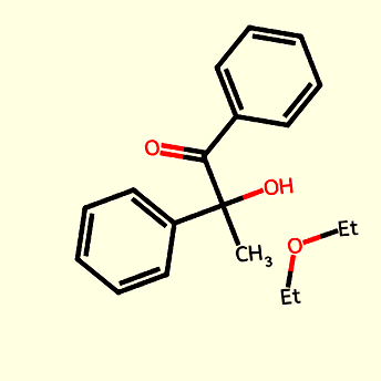 CC(O)(C(=O)c1ccccc1)c1ccccc1.CCOCC